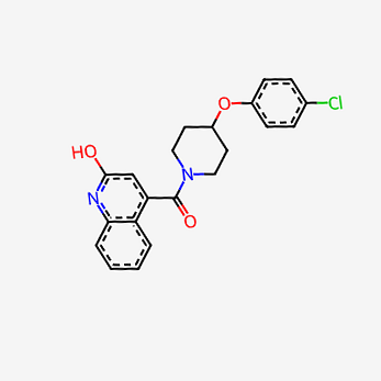 O=C(c1cc(O)nc2ccccc12)N1CCC(Oc2ccc(Cl)cc2)CC1